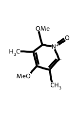 COC1=C(C)C(OC)[N+](=O)[C]=C1C